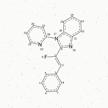 F/C(=C\c1ccccc1)c1nc2ccccc2n1-c1ccccn1